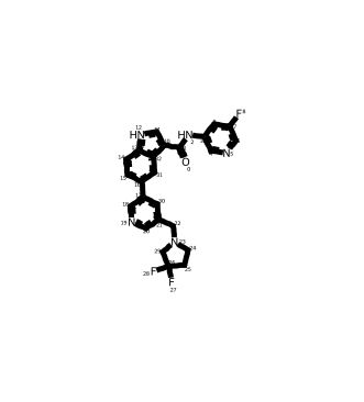 O=C(Nc1cncc(F)c1)c1c[nH]c2ccc(-c3cncc(CN4CCC(F)(F)C4)c3)cc12